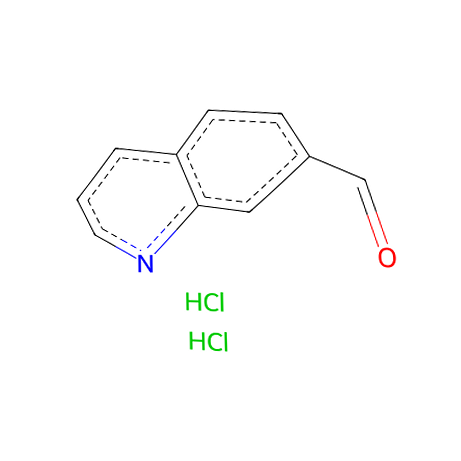 Cl.Cl.O=Cc1ccc2cccnc2c1